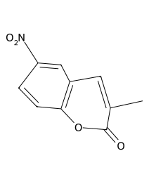 Cc1cc2cc([N+](=O)[O-])ccc2oc1=O